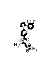 C[C@H](/C=C/S(C)(=O)=O)NC(=O)c1ccc(N2CCC[C@H]2c2cccc(F)c2Cl)nc1